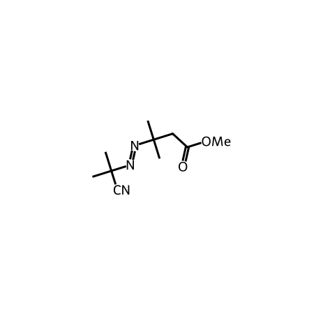 COC(=O)CC(C)(C)N=NC(C)(C)C#N